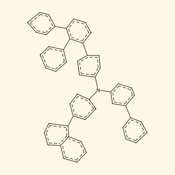 c1ccc(-c2cccc(N(c3ccc(-c4cccc(-c5ccccc5)c4-c4ccccc4)cc3)c3ccc(-c4cccc5ccccc45)cc3)c2)cc1